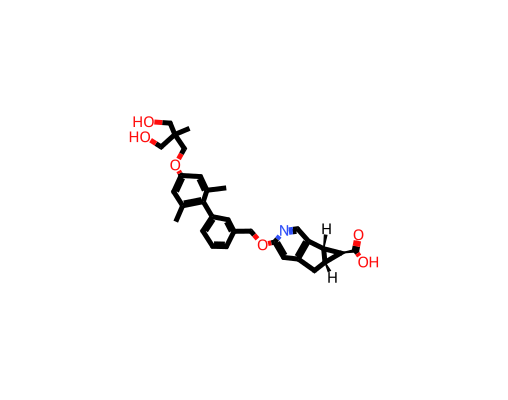 Cc1cc(OCC(C)(CO)CO)cc(C)c1-c1cccc(COc2cc3c(cn2)[C@H]2[C@@H](C3)[C@@H]2C(=O)O)c1